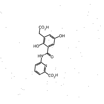 O=C(O)Cc1cc(O)cc(C(=O)Nc2cccc(C(=O)O)n2)c1O